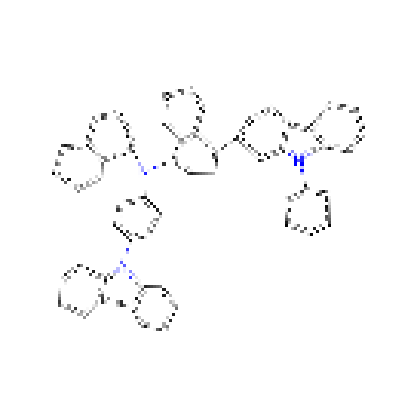 c1ccc(-n2c3ccccc3c3ccc(-c4ccc(N(c5ccc(-n6c7ccccc7c7ccccc76)cc5)c5cccc6ccccc56)c5ccccc45)cc32)cc1